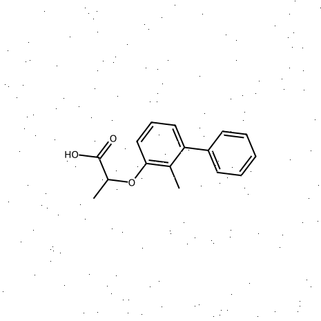 Cc1c(OC(C)C(=O)O)cccc1-c1ccccc1